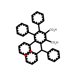 O=C(O)c1c(C(=O)O)c(C(c2ccccc2)c2ccccc2)c(-c2ccccc2)c(-c2ccccc2)c1-c1ccccc1